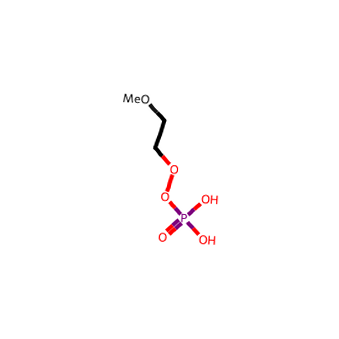 COCCOOP(=O)(O)O